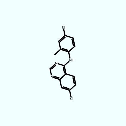 Cc1cc(Cl)ccc1Nc1ncnc2cc(Cl)ccc12